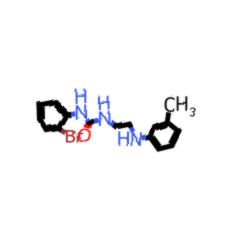 Cc1cccc(NCCNC(=O)Nc2ccccc2Br)c1